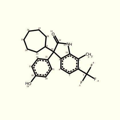 Cc1c(C(F)(F)F)ccc2c1NC(=O)C2(c1ccc(O)cc1)C1CCCCCC1